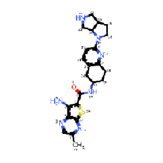 Cc1cnc2c(N)c(C(=O)NC3CCc4nc(N5CCC6CNCC65)ccc4C3)sc2n1